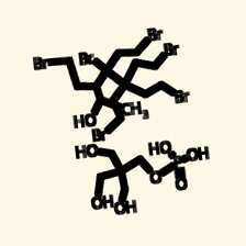 CC(O)C(CCBr)C(Br)(CCBr)C(CCBr)(CCBr)CCBr.O=P(O)(O)OCC(CO)(CO)CO